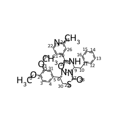 COc1ccc(C2=NN(C(Cc3ccccc3)NC(=O)c3ccnc(C)c3)C(=O)SC2)cc1OC